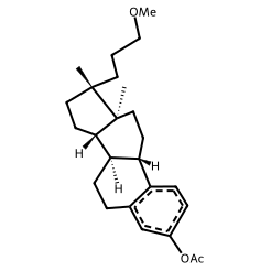 COCCC[C@@]1(C)CC[C@H]2[C@@H]3CCc4cc(OC(C)=O)ccc4[C@H]3CC[C@@]21C